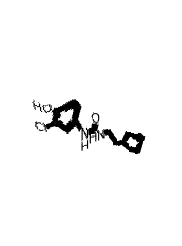 O=C(NC=Cc1ccccc1)Nc1ccc(O)c(Cl)c1